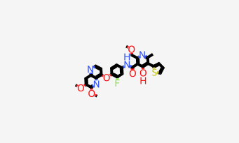 COCc1nc(C)c(-c2cccs2)c(O)c1C(=O)Nc1ccc(Oc2ccnc3cc(OC)c(OC)nc23)c(F)c1